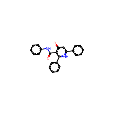 O=C(Nc1ccccc1)c1c(-c2ccccc2)[nH]c(-c2ccccc2)cc1=O